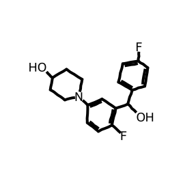 OC1CCN(c2ccc(F)c(C(O)c3ccc(F)cc3)c2)CC1